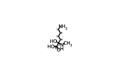 CNC(O)(CCCCN)C(=O)O